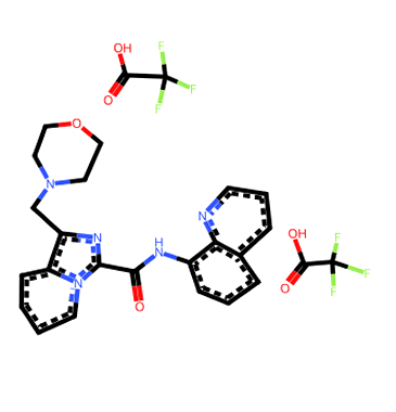 O=C(Nc1cccc2cccnc12)c1nc(CN2CCOCC2)c2ccccn12.O=C(O)C(F)(F)F.O=C(O)C(F)(F)F